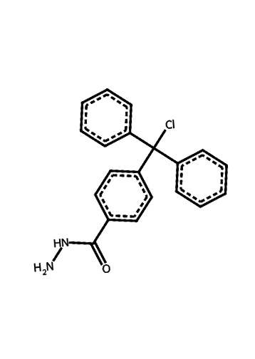 NNC(=O)c1ccc(C(Cl)(c2ccccc2)c2ccccc2)cc1